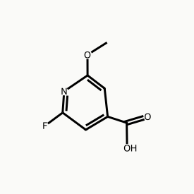 COc1cc(C(=O)O)cc(F)n1